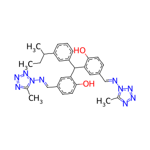 CCC(C)c1cccc(C(c2cc(C=Nn3nnnc3C)ccc2O)c2cc(C=Nn3nnnc3C)ccc2O)c1